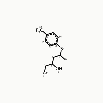 CC(=O)CC(O)CC(C)Sc1ccc(C(F)(F)F)cc1